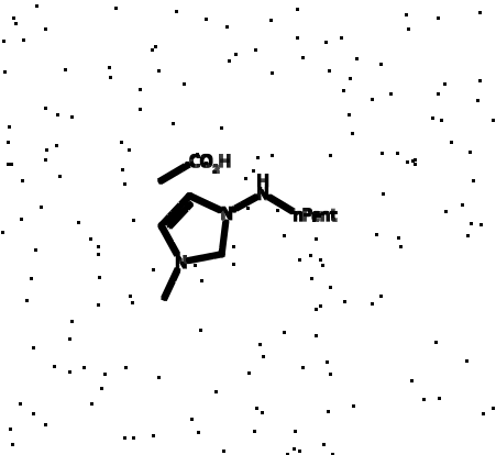 CC(=O)O.CCCCCNN1C=CN(C)C1